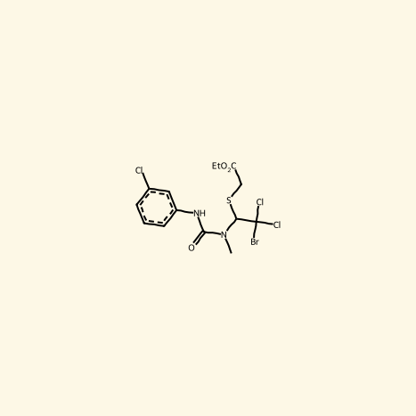 CCOC(=O)CSC(N(C)C(=O)Nc1cccc(Cl)c1)C(Cl)(Cl)Br